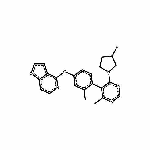 Cc1cc(Oc2nccc3occc23)ccc1-c1c(C)ncnc1N1CCC(F)C1